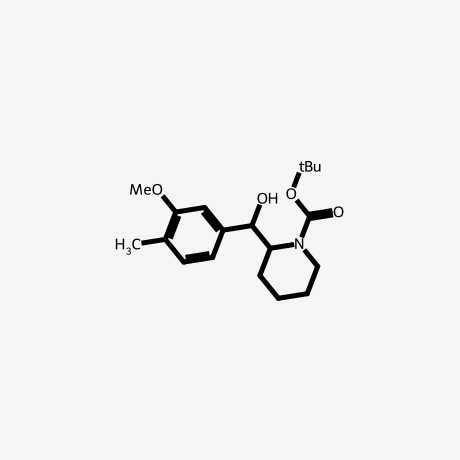 COc1cc(C(O)C2CCCCN2C(=O)OC(C)(C)C)ccc1C